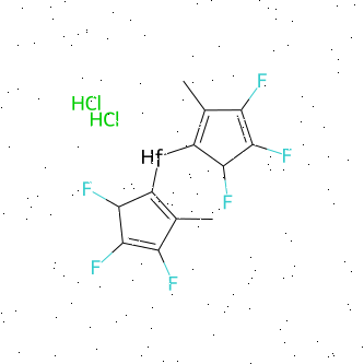 CC1=[C]([Hf][C]2=C(C)C(F)=C(F)C2F)C(F)C(F)=C1F.Cl.Cl